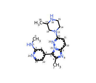 CNc1cc(-c2c(C)nc3ccc(N4CCNC(C)C4)nn23)ccn1